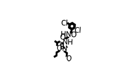 CCCCOB([C@H](CC(C)C)NC(=O)CNC(=O)c1cc(Cl)ccc1Cl)N(C)CCCOC